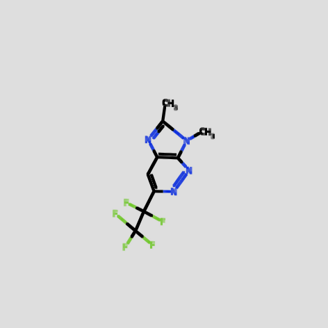 Cc1nc2cc(C(F)(F)C(F)(F)F)nnc2n1C